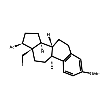 COc1ccc2c(c1)CC[C@@H]1[C@@H]2CC[C@]2(CI)[C@@H](C(C)=O)CC[C@@H]12